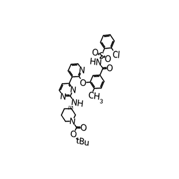 Cc1ccc(C(=O)NS(=O)(=O)c2ccccc2Cl)cc1Oc1ncccc1-c1ccnc(N[C@H]2CCCN(C(=O)OC(C)(C)C)C2)n1